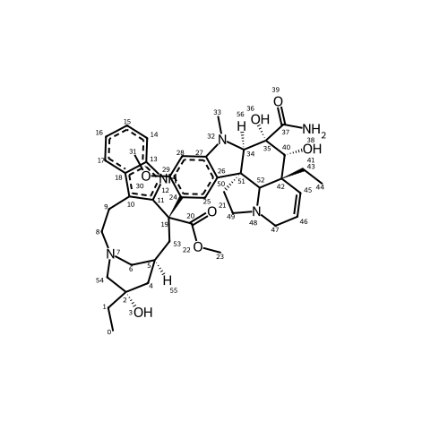 CC[C@]1(O)C[C@H]2CN(CCc3c([nH]c4ccccc34)[C@@](C(=O)OC)(c3cc4c(cc3OC)N(C)[C@H]3[C@@](O)(C(N)=O)[C@H](O)[C@]5(CC)C=CCN6CC[C@]43C65)C2)C1